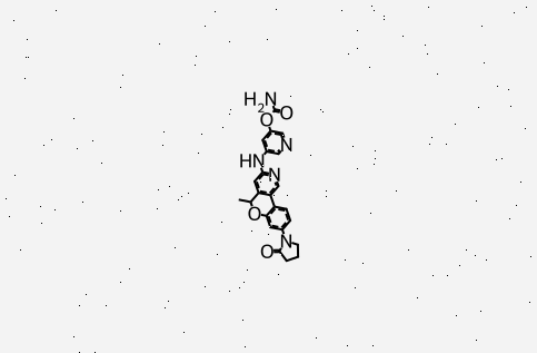 CC1Oc2cc(N3CCCC3=O)ccc2-c2cnc(Nc3cncc(OC(N)=O)c3)cc21